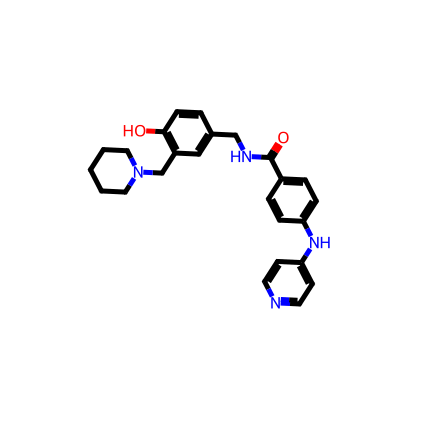 O=C(NCc1ccc(O)c(CN2CCCCC2)c1)c1ccc(Nc2ccncc2)cc1